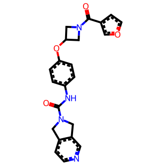 O=C(Nc1ccc(OC2CN(C(=O)c3ccoc3)C2)cc1)N1Cc2ccncc2C1